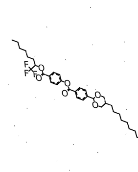 CCCCCCCCCC1COC(c2ccc(C(=O)Oc3ccc(C(=O)OC(CCCCCC)C(F)(F)F)cc3)cc2)OC1